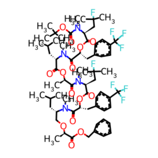 CC(C)C[C@@H](CO[C@H](C)C(=O)OCc1ccccc1)N(C)C(=O)[C@@H](Cc1ccc(C(F)(F)F)cc1)OC(=O)[C@H](CC(C)(C)F)N(C)C(=O)[C@@H](C)OC(=O)[C@H](CC(C)C)N(C)C(=O)[C@@H](Cc1ccc(C(F)(F)F)cc1)OC(=O)[C@H](CC(C)(C)F)N(C)C(=O)OC(C)(C)C